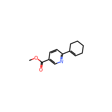 COC(=O)c1ccc(C2=CCCCC2)nc1